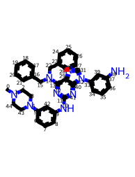 CN1CCN(c2cccc(Nc3nc(N(Cc4ccccc4)Cc4ccccc4)c4ncn(-c5cccc(N)c5)c4n3)c2)CC1